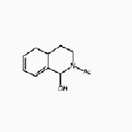 CC(=O)N1CCC2CC=CC=C2C1O